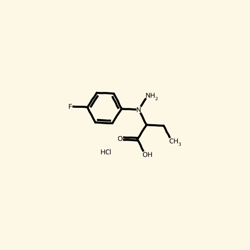 CCC(C(=O)O)N(N)c1ccc(F)cc1.Cl